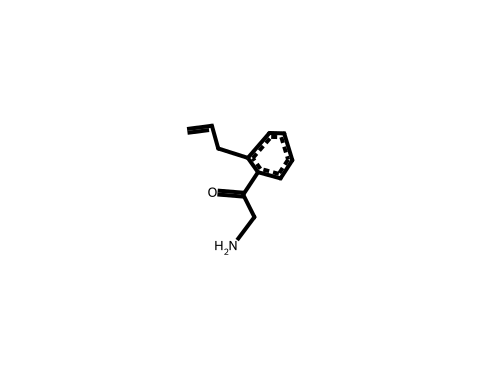 C=CCc1ccccc1C(=O)CN